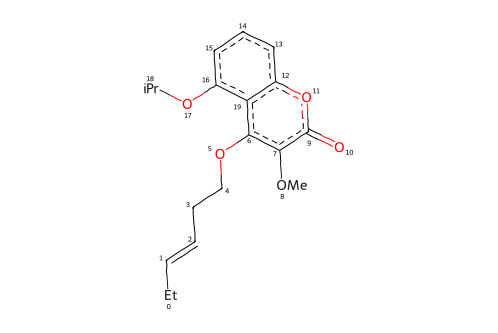 CCC=CCCOc1c(OC)c(=O)oc2cccc(OC(C)C)c12